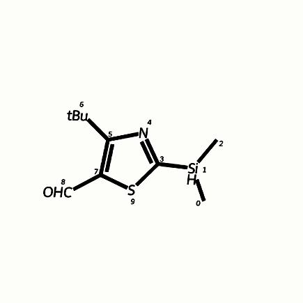 C[SiH](C)c1nc(C(C)(C)C)c(C=O)s1